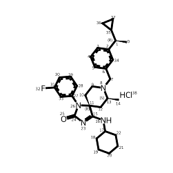 C[C@@H](c1cccc(CN2CC[C@@]3(C[C@@H]2C)C(NC2CCCCC2)=NC(=O)N3c2cccc(F)c2)c1)C1CC1.Cl